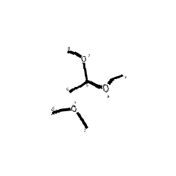 COC.COC(C)OC